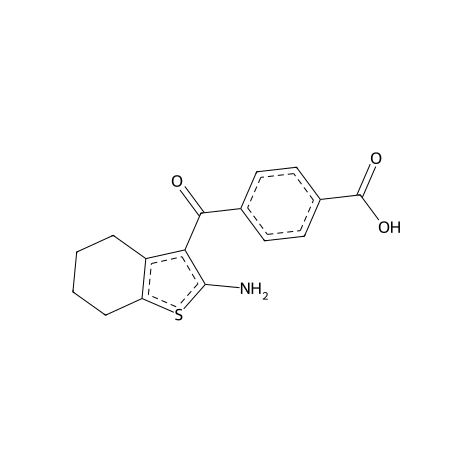 Nc1sc2c(c1C(=O)c1ccc(C(=O)O)cc1)CCCC2